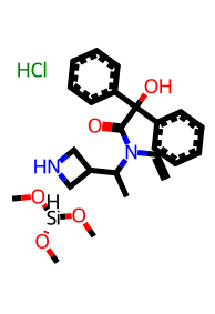 C=CN(C(=O)C(O)(c1ccccc1)c1ccccc1)C(C)C1CNC1.CO[SiH](OC)OC.Cl